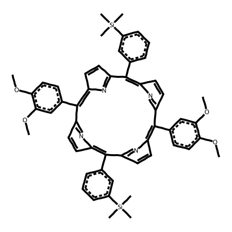 COc1ccc(C2=C3C=CC(=N3)C(c3cccc([Si](C)(C)C)c3)=C3C=CC(=N3)C(c3ccc(OC)c(OC)c3)=C3C=CC(=N3)C(c3cccc([Si](C)(C)C)c3)=C3C=CC2=N3)cc1OC